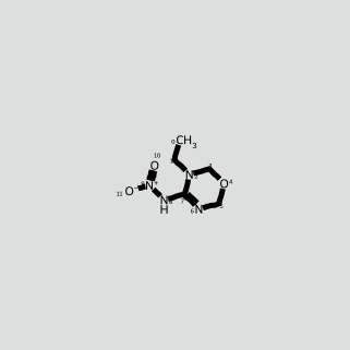 CCN1COCN=C1N[N+](=O)[O-]